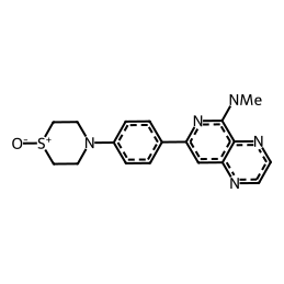 CNc1nc(-c2ccc(N3CC[S+]([O-])CC3)cc2)cc2nccnc12